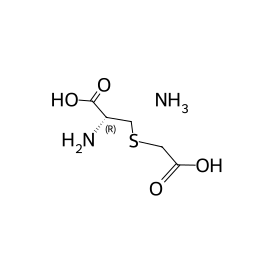 N.N[C@@H](CSCC(=O)O)C(=O)O